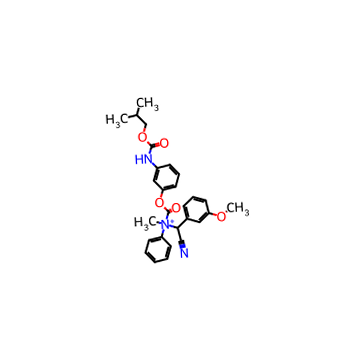 COc1cccc(C(C#N)[N+](C)(C(=O)Oc2cccc(NC(=O)OCC(C)C)c2)c2ccccc2)c1